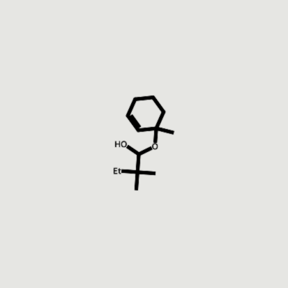 CCC(C)(C)C(O)OC1(C)C=CCCC1